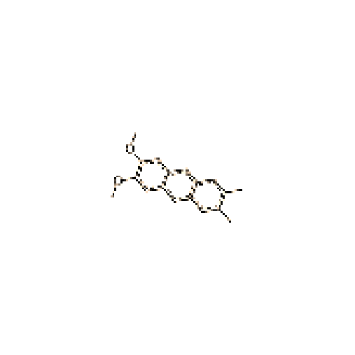 COc1cc2cc3cc(C)c(C)cc3cc2cc1OC